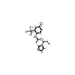 CCC(OC(C)=Nc1ccc(Cl)cc1C(F)(F)F)n1ccnc1